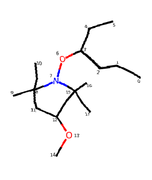 CCCC(CC)ON1C(C)(C)CC(OC)C1(C)C